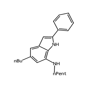 CCCCCNc1cc(CCCC)cc2cc(-c3ccccc3)[nH]c12